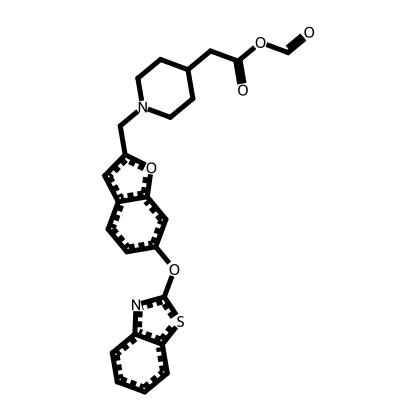 O=COC(=O)CC1CCN(Cc2cc3ccc(Oc4nc5ccccc5s4)cc3o2)CC1